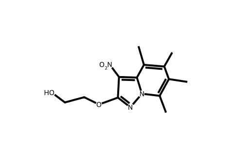 Cc1c(C)c(C)n2nc(OCCO)c([N+](=O)[O-])c2c1C